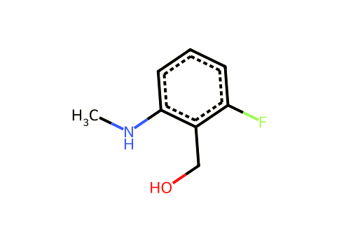 CNc1cccc(F)c1CO